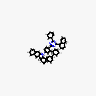 c1ccc(-c2nc(-c3ccc(-n4c5ccccc5c5cc6ccccc6cc54)cc3-c3ccccc3-c3ccccc3)nc(-c3cccc4ccccc34)n2)cc1